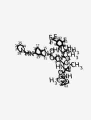 CC[C@@H]1C[C@]1(NC(=O)C1C[C@@H](OC(=O)N2Cc3ccc(NCCN4CCCCC4)cc3C2)CN1C(=O)[C@@H](Nc1cc(F)cc(C(F)(F)F)c1)C(C)(C)C)C(=O)NS(=O)(=O)C1(C)CC1